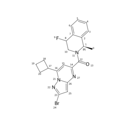 C[C@@H]1c2ccccc2C(F)CN1C(=O)c1cc(C2CCC2)n2nc(Br)cc2n1